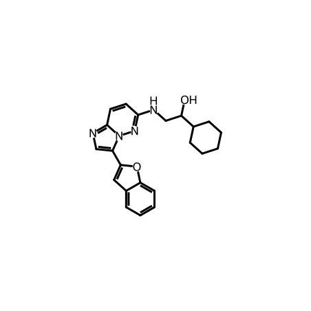 OC(CNc1ccc2ncc(-c3cc4ccccc4o3)n2n1)C1CCCCC1